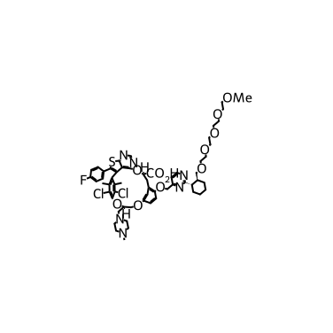 COCCOCCOCCOCCOC[C@H]1CCCC[C@@H]1c1nccc(COc2ccc3cc2C[C@H](C(=O)O)Oc2ncnc4sc(-c5ccc(F)cc5)c(c24)-c2c(C)c(Cl)c(c(Cl)c2C)O[C@H](CN2CCN(C)CC2)CO3)n1